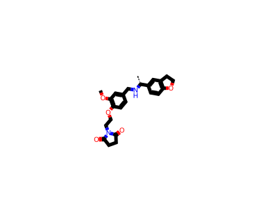 COc1cc(CN[C@H](C)c2ccc3c(c2)CCO3)ccc1OCCN1C(=O)CCC1=O